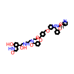 O=C(NC(c1ccccc1)c1cccc(OCc2ccc(C(=O)OCCN(CCCNC[C@H](O)c3ccc(O)c4[nH]c(=O)ccc34)C(=O)c3ccccc3)cc2)c1)O[C@H]1CN2CCC1CC2